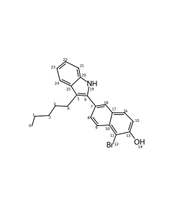 CCCCCc1c(-c2ccc3c(Br)c(O)ccc3c2)[nH]c2ccccc12